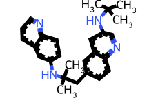 CC(C)(C)Nc1cnc2ccc(CC(C)(C)Nc3ccc4ncccc4c3)cc2c1